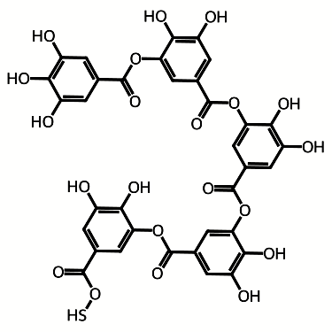 O=C(OS)c1cc(O)c(O)c(OC(=O)c2cc(O)c(O)c(OC(=O)c3cc(O)c(O)c(OC(=O)c4cc(O)c(O)c(OC(=O)c5cc(O)c(O)c(O)c5)c4)c3)c2)c1